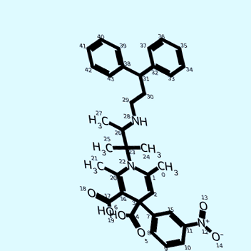 CC1=CC(C(=O)O)(c2cccc([N+](=O)[O-])c2)C(C(=O)O)=C(C)N1C(C)(C)C(C)NCCC(c1ccccc1)c1ccccc1